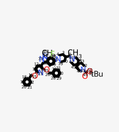 CC(C1CCN(c2ccc3c(-c4ccc(OCc5ccccc5)nc4OCc4ccccc4)nn(C)c3c2F)CC1)N1CCC2(CCN(C(=O)OC(C)(C)C)CC2)CC1